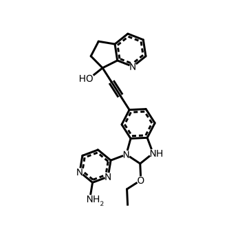 CCOC1Nc2ccc(C#CC3(O)CCc4cccnc43)cc2N1c1ccnc(N)n1